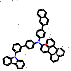 c1ccc(-c2cccc3cccc(-c4ccc(N(c5ccc(-c6cccc(-n7c8ccccc8c8ccccc87)c6)cc5)c5ccc(-c6ccc7ccccc7c6)cc5)cc4)c23)cc1